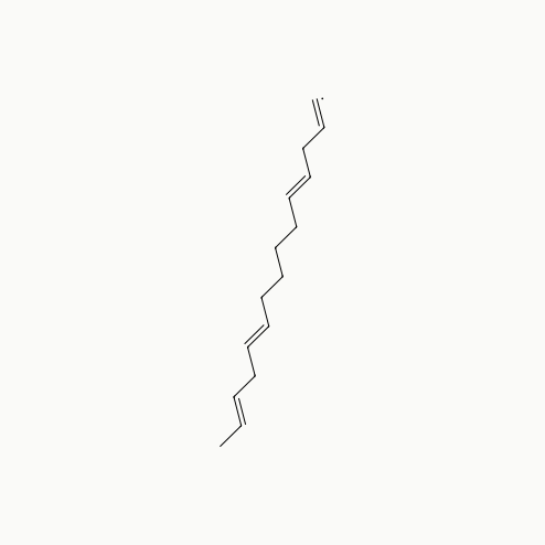 [CH]=CCC=CCCCCC=CCC=CC